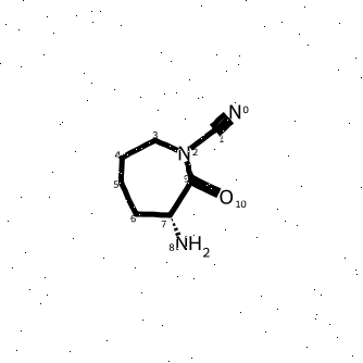 N#CN1CCCC[C@@H](N)C1=O